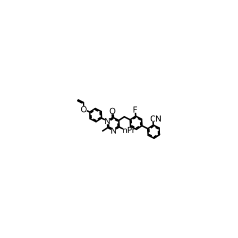 C=COc1ccc(-n2c(C)nc(CCC)c(Cc3ccc(-c4ccccc4C#N)cc3F)c2=O)cc1